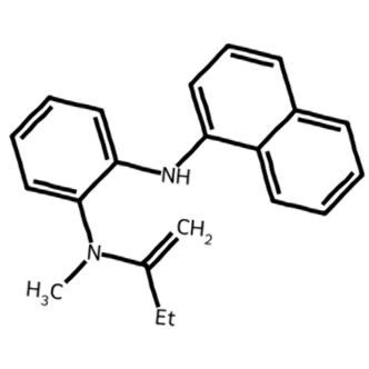 C=C(CC)N(C)c1ccccc1Nc1cccc2ccccc12